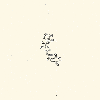 CCCC1(C(=O)N[C@@H](CC(C)C)B(O)O)CC(CNC(=O)c2cc(Cl)ccc2Cl)=NO1